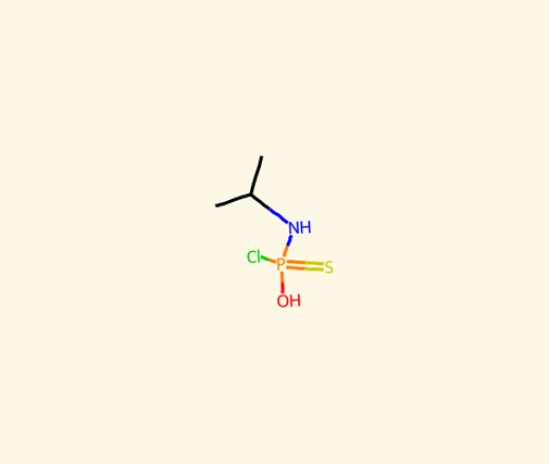 CC(C)NP(O)(=S)Cl